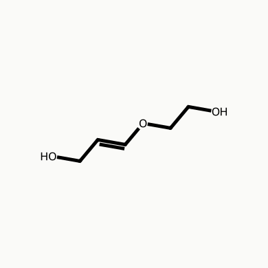 OCC=COCCO